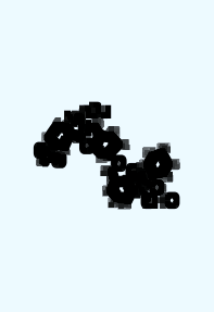 CCCCc1nc2ccc(S(C)(=O)=O)cc2c(=O)n1Cc1ccc(OCc2cccc(N(C=O)S(=O)(=O)c3ccccc3)c2Cl)cc1